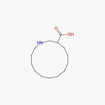 O=C(O)C1CCCCCCCCCCCNC1